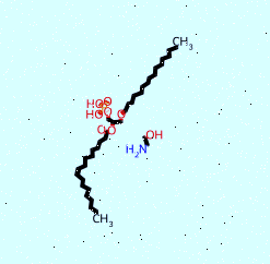 CCCCCCCC/C=C\CCCCCCCC(=O)OC(COCCCCCCCCCCCCCCCC)COP(=O)(O)O.NCCO